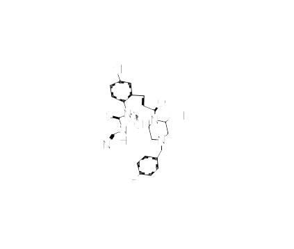 CSN(C(=S)NC#N)c1ccc(Cl)cc1C=CC(=O)N1CCN(Cc2ccc(F)cc2)CC1C